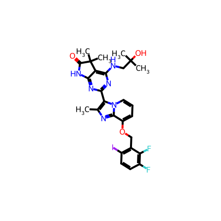 Cc1nc2c(OCc3c(I)ccc(F)c3F)cccn2c1-c1nc(NCC(C)(C)O)c2c(n1)NC(=O)C2(C)C